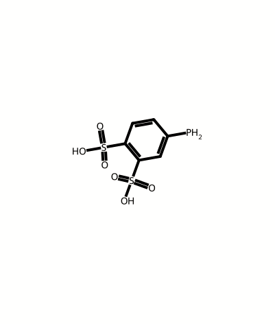 O=S(=O)(O)c1ccc(P)cc1S(=O)(=O)O